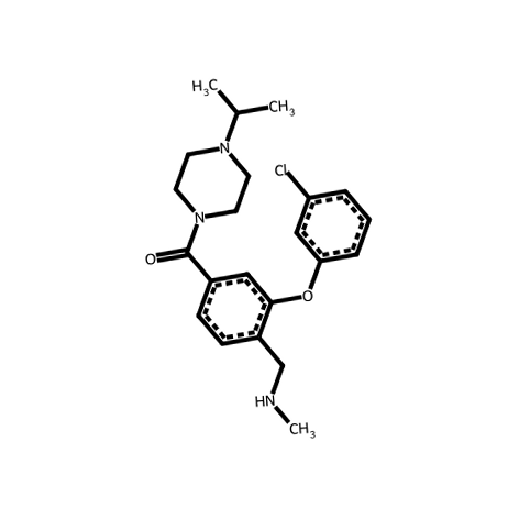 CNCc1ccc(C(=O)N2CCN(C(C)C)CC2)cc1Oc1cccc(Cl)c1